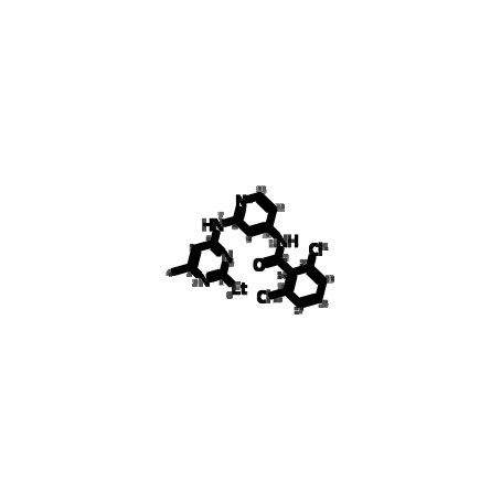 CCc1nc(C)cc(Nc2cc(NC(=O)c3c(Cl)cccc3Cl)ccn2)n1